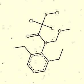 CCc1cccc(CC)c1N(COC)C(=O)C(Cl)(Cl)SCl